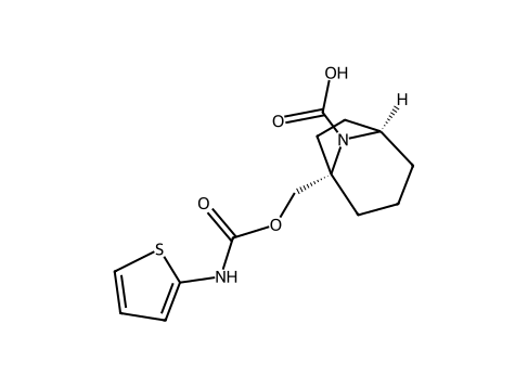 O=C(Nc1cccs1)OC[C@]12CCC[C@H](CC1)N2C(=O)O